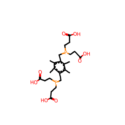 Cc1c(C)c(CP(CCC(=O)O)CCC(=O)O)c(C)c(C)c1CP(CCC(=O)O)CCC(=O)O